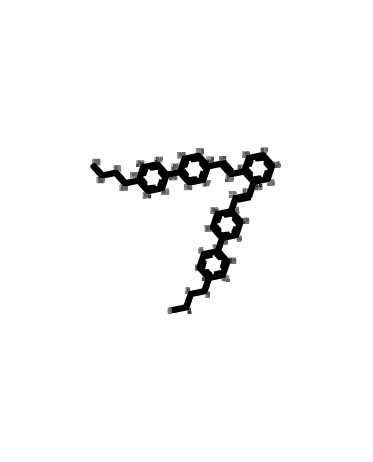 CCCCc1ccc(-c2ccc(/C=C/c3ccccc3/C=C/c3ccc(-c4ccc(CCCC)cc4)cc3)cc2)cc1